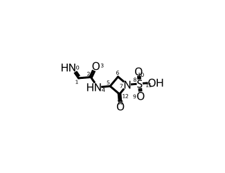 N=CC(=O)NC1CN(S(=O)(=O)O)C1=O